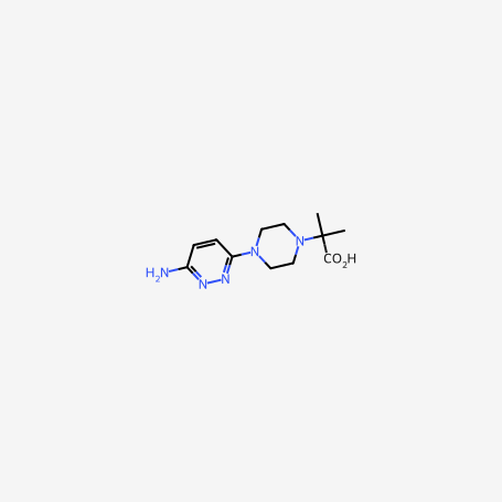 CC(C)(C(=O)O)N1CCN(c2ccc(N)nn2)CC1